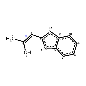 C/C(O)=C/c1nc2ccccc2s1